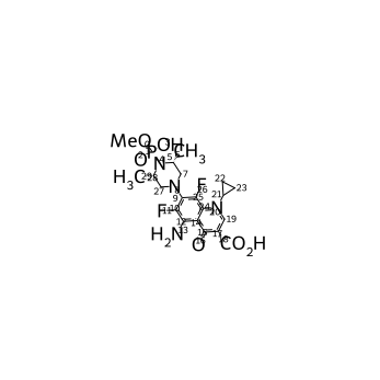 COP(=O)(O)N1[C@H](C)CN(c2c(F)c(N)c3c(=O)c(C(=O)O)cn(C4CC4)c3c2F)C[C@@H]1C